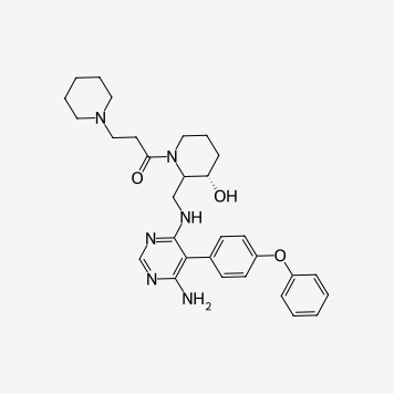 Nc1ncnc(NCC2[C@@H](O)CCCN2C(=O)CCN2CCCCC2)c1-c1ccc(Oc2ccccc2)cc1